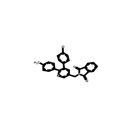 Cc1ccc(-c2ncc(CN3C(=O)c4ccccc4C3=O)cc2-c2ccc(Cl)cc2)cc1